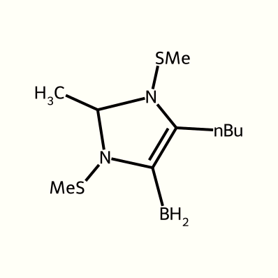 BC1=C(CCCC)N(SC)C(C)N1SC